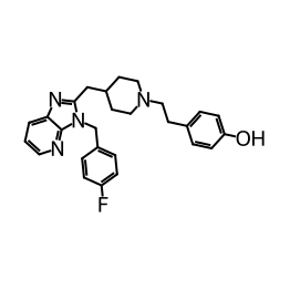 Oc1ccc(CCN2CCC(Cc3nc4cccnc4n3Cc3ccc(F)cc3)CC2)cc1